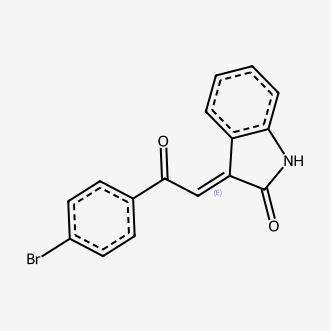 O=C1Nc2ccccc2/C1=C\C(=O)c1ccc(Br)cc1